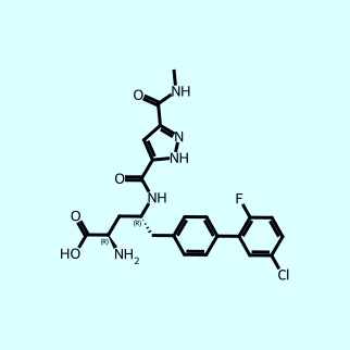 CNC(=O)c1cc(C(=O)N[C@H](Cc2ccc(-c3cc(Cl)ccc3F)cc2)C[C@@H](N)C(=O)O)[nH]n1